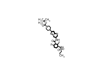 CCCS(=O)(=O)Nc1ccc(F)c(C(=O)Nc2cnc3cc(C4CCN(C(=O)OC(C)(C)C)CC4)nn3c2)c1F